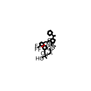 C=C(c1ccccc1)c1ccc(CN(C)C[C@H]2Oc3c(NC(=O)Cc4ccc(C(F)(F)F)cc4)cccc3C(=O)N(C(C)CO)C[C@H]2C)cc1